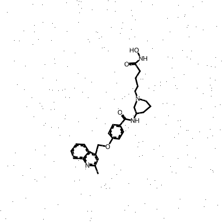 Cc1cc(COc2ccc(C(=O)NC3CCCN(CCCCC(=O)NO)C3)cc2)c2ccccc2n1